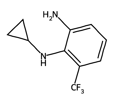 Nc1cccc(C(F)(F)F)c1NC1CC1